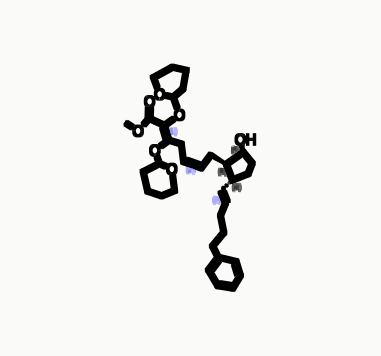 COC(=O)/C(OC1CCCCO1)=C(/C/C=C\C[C@H]1[C@@H](O)CC[C@@H]1/C=C/CCCc1ccccc1)OC1CCCCO1